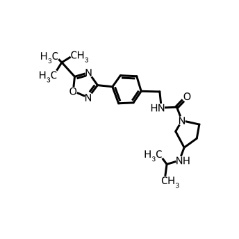 CC(C)NC1CCN(C(=O)NCc2ccc(-c3noc(C(C)(C)C)n3)cc2)C1